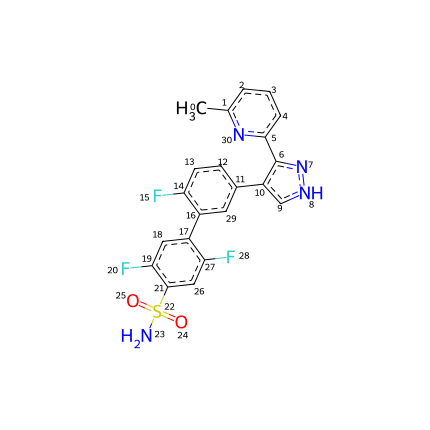 Cc1cccc(-c2n[nH]cc2-c2ccc(F)c(-c3cc(F)c(S(N)(=O)=O)cc3F)c2)n1